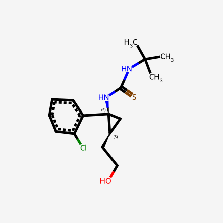 CC(C)(C)NC(=S)N[C@@]1(c2ccccc2Cl)C[C@H]1CCO